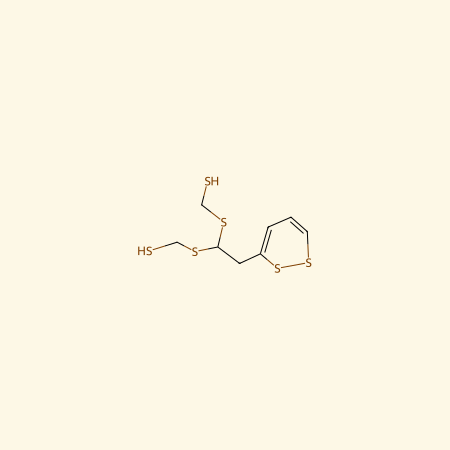 SCSC(CC1=CC=CSS1)SCS